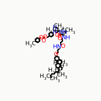 Cc1ccc(OC(=O)OCc2ccc(NC(=O)[C@H](CC(C)C)NC(=O)[C@H](CC(C)C)NC(=O)CCC(=O)NCCCO[C@H]3CC[C@@]4(C)C(=CCC5[C@@H]6CC[C@H]([C@H](C)CCCC(C)C)[C@@]6(C)CC[C@@H]54)C3)cc2)cc1